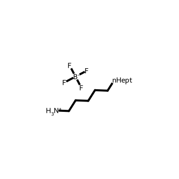 CCCCCCCCCCCC[NH3+].F[B-](F)(F)F